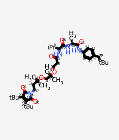 CC(C)C(NC(=O)CCOC(C)(C)COC(C)(C)CCN1C(=O)C(C(C)(C)C)=C(C(C)(C)C)C1=O)C(=O)N[C@@H](C)C(=O)Nc1ccc(CC(C)(C)C)cc1